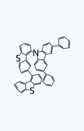 c1ccc(-c2ccc3c(c2)c2cc(-c4ccccc4)ccc2n3-c2cccc3sc4ccc(-c5cccc6sc7ccccc7c56)cc4c23)cc1